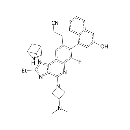 CCc1nc2c(N3CC(N(C)C)C3)nc3c(F)c(-c4cc(O)cc5ccccc45)c(CCC#N)cc3c2n1C1C2CNC1C2